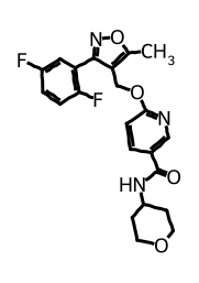 Cc1onc(-c2cc(F)ccc2F)c1COc1ccc(C(=O)NC2CCOCC2)cn1